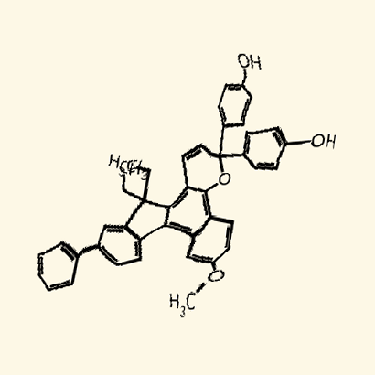 CCC1(CC)c2cc(-c3ccccc3)ccc2-c2c1c1c(c3ccc(OC)cc23)OC(c2ccc(O)cc2)(c2ccc(O)cc2)C=C1